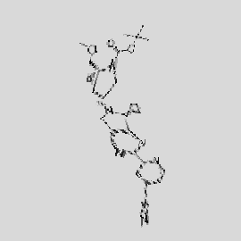 COC[C@@H]1C[C@@H](N2Cc3cnc(-c4cc(C#N)ccn4)nc3C2=O)CN1C(=O)OC(C)(C)C